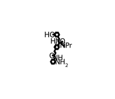 CC(C)NC(=O)C(NCc1cccc(O)c1)c1ccc(/C=C/C(=O)Nc2ccccc2N)cc1